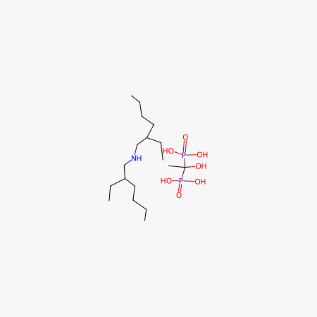 CC(O)(P(=O)(O)O)P(=O)(O)O.CCCCC(CC)CNCC(CC)CCCC